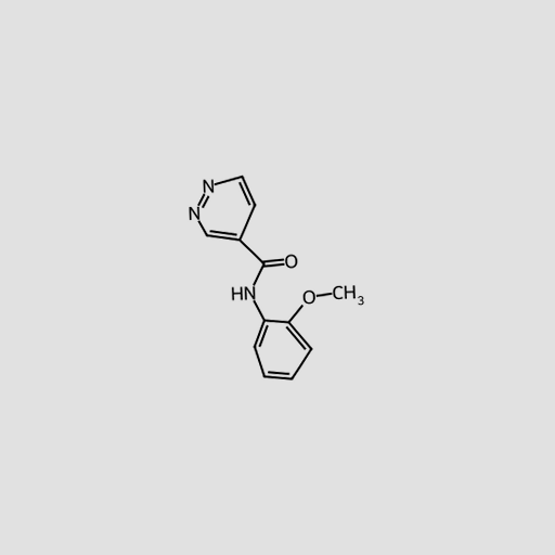 COc1ccccc1NC(=O)c1ccnnc1